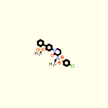 CCN(C1CCCN(c2ccc(-c3ccccc3S(C)(=O)=O)cc2)C1=O)S(=O)(=O)c1ccc(Cl)cc1